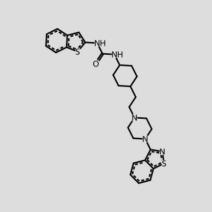 O=C(Nc1cc2ccccc2s1)NC1CCC(CCN2CCN(c3nsc4ccccc34)CC2)CC1